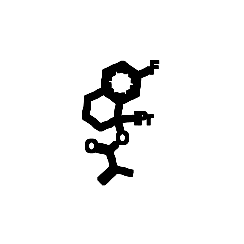 C=C(C)C(=O)OC1(C(C)C)CCCc2ccc(F)cc21